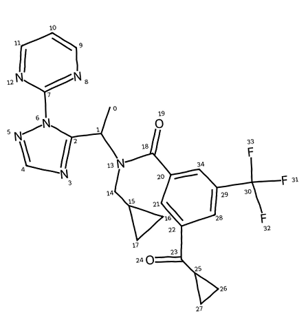 CC(c1ncnn1-c1ncccn1)N(CC1CC1)C(=O)c1cc(C(=O)C2CC2)cc(C(F)(F)F)c1